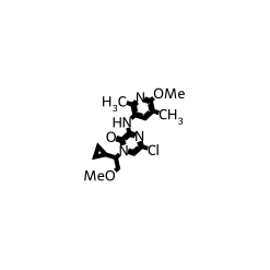 COCC(C1CC1)n1cc(Cl)nc(Nc2cc(C)c(OC)nc2C)c1=O